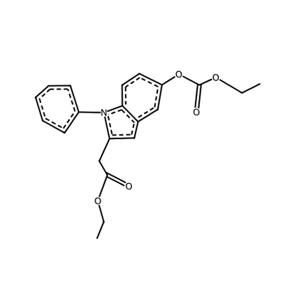 CCOC(=O)Cc1cc2cc(OC(=O)OCC)ccc2n1-c1ccccc1